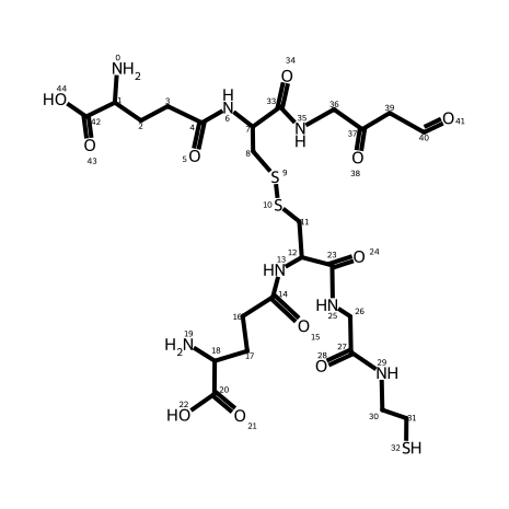 NC(CCC(=O)NC(CSSCC(NC(=O)CCC(N)C(=O)O)C(=O)NCC(=O)NCCS)C(=O)NCC(=O)CC=O)C(=O)O